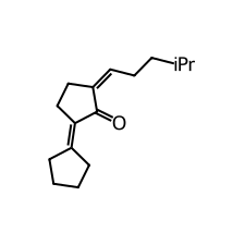 CC(C)CCC=C1CCC(=C2CCCC2)C1=O